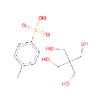 Cc1ccc(S(=O)(=O)O)cc1.OCC(CO)(CO)CO